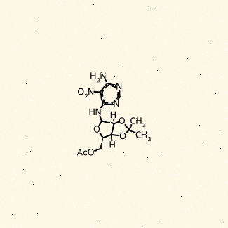 CC(=O)OC[C@H]1OC(Nc2ncnc(N)c2[N+](=O)[O-])[C@@H]2OC(C)(C)O[C@H]12